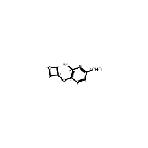 O=Cc1ccc(OC2COC2)c(F)c1